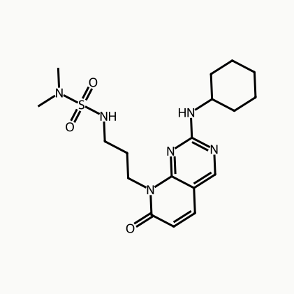 CN(C)S(=O)(=O)NCCCn1c(=O)ccc2cnc(NC3CCCCC3)nc21